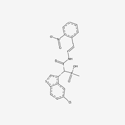 CP(=O)(O)C(C(=O)NC=Cc1ccccc1[N+](=O)[O-])c1csc2ccc(Cl)cc12